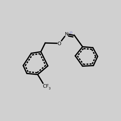 FC(F)(F)c1cccc(CO/N=[C]\c2ccccc2)c1